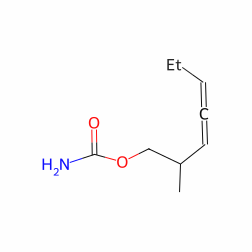 CCC=C=CC(C)COC(N)=O